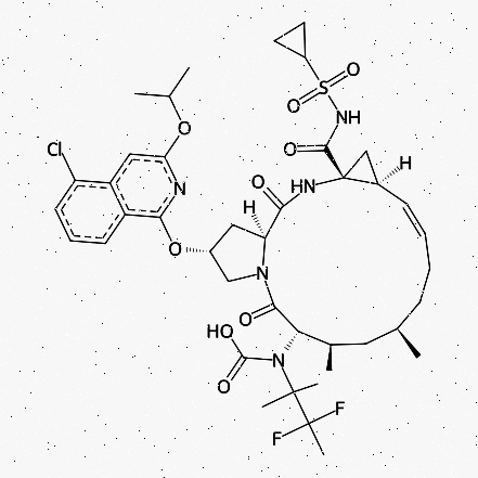 CC(C)Oc1cc2c(Cl)cccc2c(O[C@@H]2C[C@H]3C(=O)N[C@]4(C(=O)NS(=O)(=O)C5CC5)C[C@H]4/C=C\CC[C@@H](C)C[C@@H](C)[C@H](N(C(=O)O)C(C)(C)C(C)(F)F)C(=O)N3C2)n1